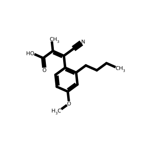 CCCCc1cc(OC)ccc1C(C#N)=C(C)C(=O)O